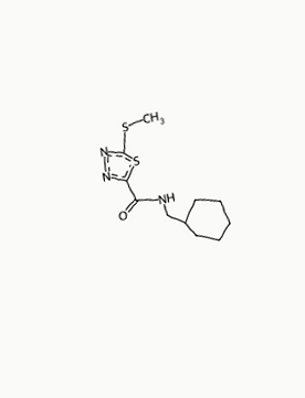 CSc1nnc(C(=O)NCC2CCCCC2)s1